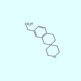 O=C(O)Cc1ccc2c(c1)CC1(CCOCC1)CC2